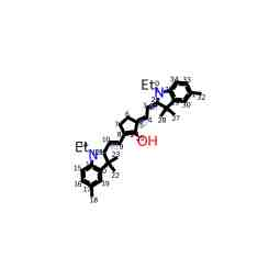 CCN1/C(=C/C=C2\CCC(/C=C/C3=[N+](CC)c4ccc(C)cc4C3(C)C)=C2O)C(C)(C)c2cc(C)ccc21